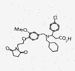 COc1cc(CN(CC2CCCCC2)C(CC(=O)O)c2ccc(Cl)cc2)ccc1OCCN1C(=O)CCC1=O